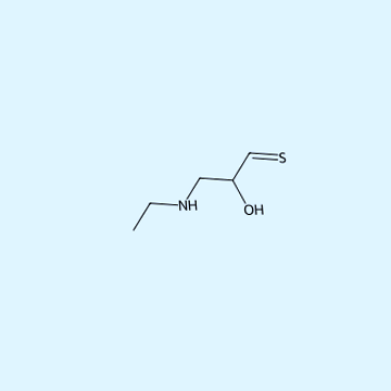 CCNCC(O)C=S